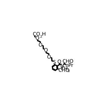 CCCC(C=O)N(C)C(=O)c1c(C=O)cccc1SCCOCCOCCOCCOCC(=O)O